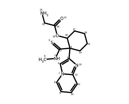 CNC(=S)C1(c2cn3ccccc3n2)CCCCC1OC(=O)CN